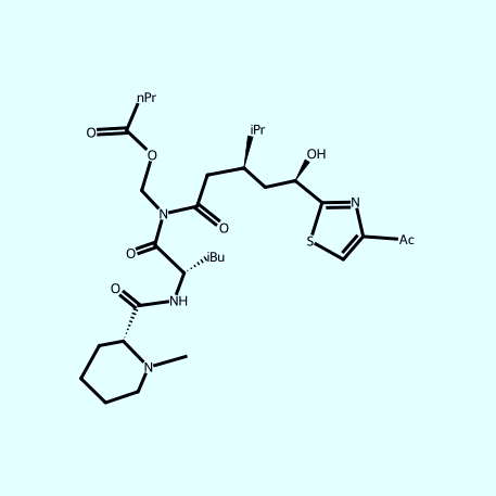 CCCC(=O)OCN(C(=O)C[C@H](C[C@@H](O)c1nc(C(C)=O)cs1)C(C)C)C(=O)[C@@H](NC(=O)[C@H]1CCCCN1C)C(C)CC